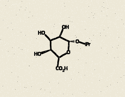 CC(C)O[C@@H]1OC(C(=O)O)[C@@H](O)C(O)C1O